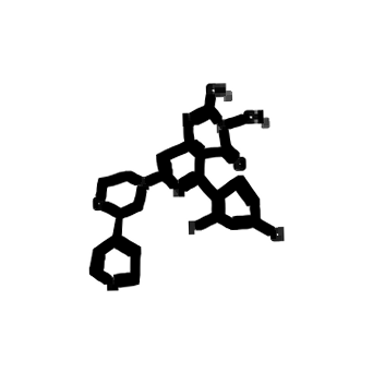 Cc1nc2cc(N3CCO[C@H](c4ccncc4)C3)nc(-c3ccc(Cl)cc3F)c2c(=O)n1C